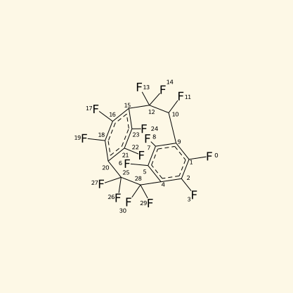 Fc1c(F)c2c(F)c(F)c1C(F)C(F)(F)c1c(F)c(F)c(c(F)c1F)C(F)(F)C2(F)F